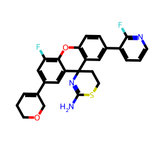 NC1=NC2(CCS1)c1cc(-c3cccnc3F)ccc1Oc1c(F)cc(C3=CCCOC3)cc12